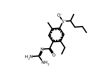 CCCC(C)[S+]([O-])c1cc(CC)c(C(=O)N=C(N)N)cc1C